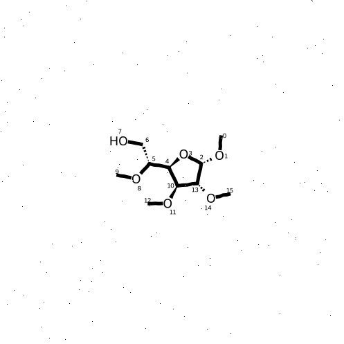 CO[C@H]1O[C@H]([C@@H](CO)OC)[C@H](OC)[C@H]1OC